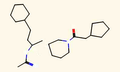 CC(=N)N[C@@](C)(CCC1CCCCC1)C[C@H]1CCCN(C(=O)CC2CCCC2)C1